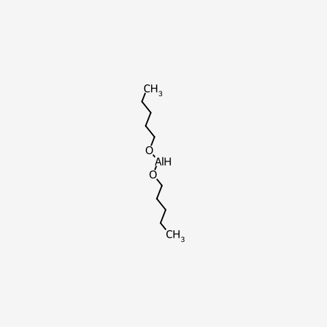 CCCCC[O][AlH][O]CCCCC